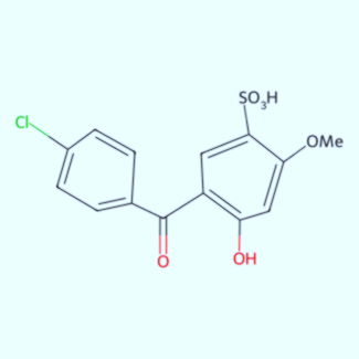 COc1cc(O)c(C(=O)c2ccc(Cl)cc2)cc1S(=O)(=O)O